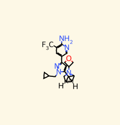 Nc1ncc(-c2cc(C34C5[C@H]3[C@H]4CN5C3COC3)n(CC3CC3)n2)cc1C(F)(F)F